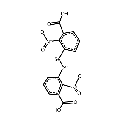 O=C(O)c1cccc([Se][Se]c2cccc(C(=O)O)c2[N+](=O)[O-])c1[N+](=O)[O-]